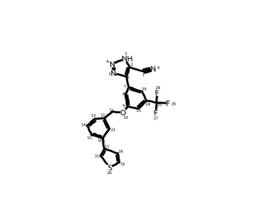 N#Cc1[nH]nnc1-c1cc(OCc2cccc(-c3ccsc3)c2)cc(C(F)(F)F)c1